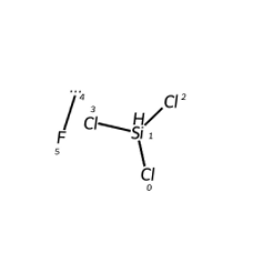 Cl[SiH](Cl)Cl.[C]F